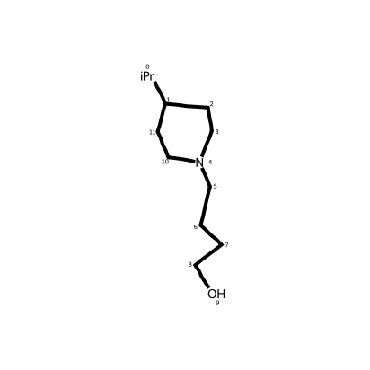 CC(C)C1CCN(CCCCO)CC1